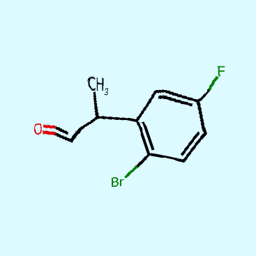 CC(C=O)c1cc(F)ccc1Br